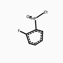 CC[PH](=O)c1ccccc1F